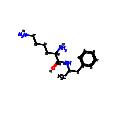 CC(Cc1ccccc1)NC(=O)C(N)CCCCN